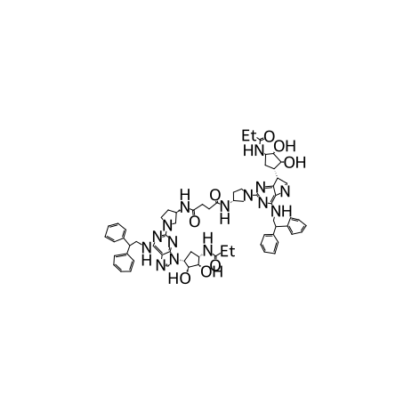 CCC(=O)N[C@H]1C[C@@H](n2cnc3c(NCC(c4ccccc4)c4ccccc4)nc(N4CC[C@@H](NC(=O)CCC(=O)N[C@@H]5CCN(c6nc(NCC(c7ccccc7)c7ccccc7)c7c(n6)C([C@@H]6C[C@H](NC(=O)CC)[C@@H](O)[C@H]6O)C=N7)C5)C4)nc32)[C@H](O)[C@@H]1O